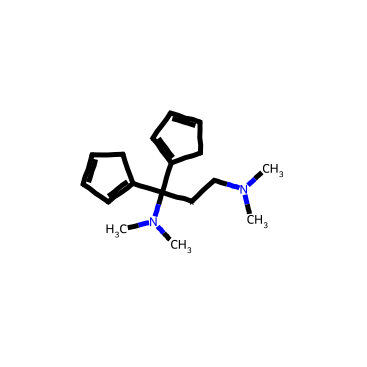 CN(C)C[C]C(C1=CC=CC1)(C1=CC=CC1)N(C)C